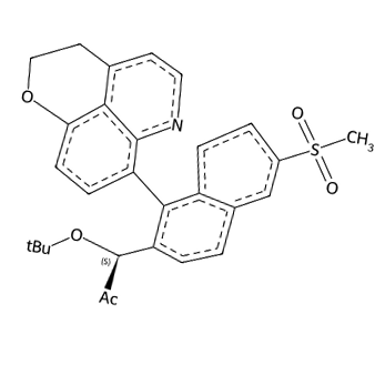 CC(=O)[C@@H](OC(C)(C)C)c1ccc2cc(S(C)(=O)=O)ccc2c1-c1ccc2c3c(ccnc13)CCO2